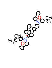 CC(C)c1ccc(N(c2ccc3cc4c(cc3c2)C2(c3ccccc3-c3ccccc32)c2c-4ccc3cc(N(c4ccc(C(C)C)cc4)c4cccc5c4oc4ccccc45)ccc23)c2cccc3c2oc2ccccc23)cc1